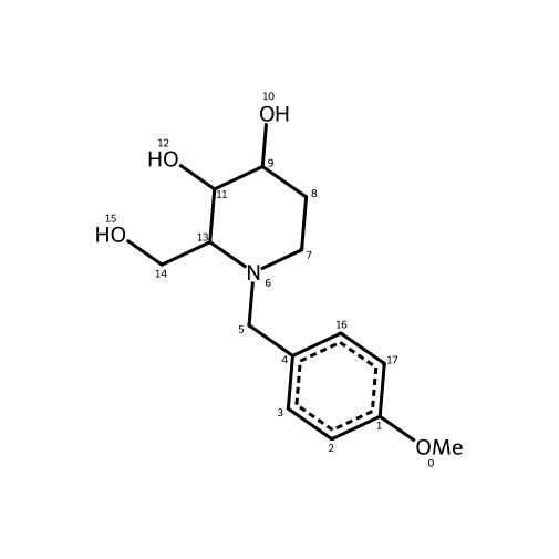 COc1ccc(CN2CCC(O)C(O)C2CO)cc1